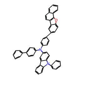 c1ccc(-c2ccc(N(c3ccc(-c4ccc5oc6c7ccccc7ccc6c5c4)cc3)c3ccc4c(c3)c3ccccc3n4-c3ccccc3)cc2)cc1